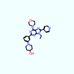 CCn1c(-c2ccncc2)nc2c(N3CCOCC3)nc(-c3cccc(N4CCC(O)CC4)c3)nc21